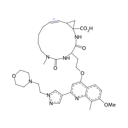 COc1ccc2c(OCCC3NC(=O)N(C)CCCC/C=C\C4CC4(C(=O)O)NC3=O)cc(-c3cnn(CCN4CCOCC4)c3)nc2c1C